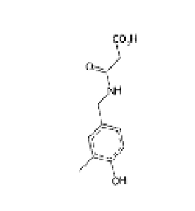 Cc1cc(CNC(=O)CC(=O)O)ccc1O